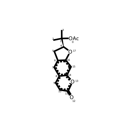 CC(=O)OC(C)(C)[C@@H]1Cc2cc3ccc(=O)oc3cc2O1